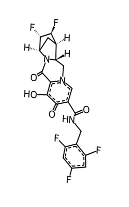 O=C(NCc1c(F)cc(F)cc1F)c1cn2c(c(O)c1=O)C(=O)N1[C@@H]3C[C@@H]([C@H](F)[C@H]3F)[C@@H]1C2